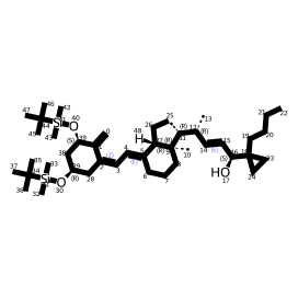 C=C1/C(=C\C=C2/CCC[C@]3(C)[C@@H]([C@H](C)/C=C/[C@H](O)C4(CCCC)CC4)CC[C@@H]23)C[C@@H](O[Si](C)(C)C(C)(C)C)C[C@@H]1O[Si](C)(C)C(C)(C)C